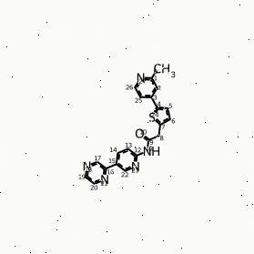 Cc1cc(-c2ccc(CC(=O)Nc3ccc(-c4cnccn4)cn3)s2)ccn1